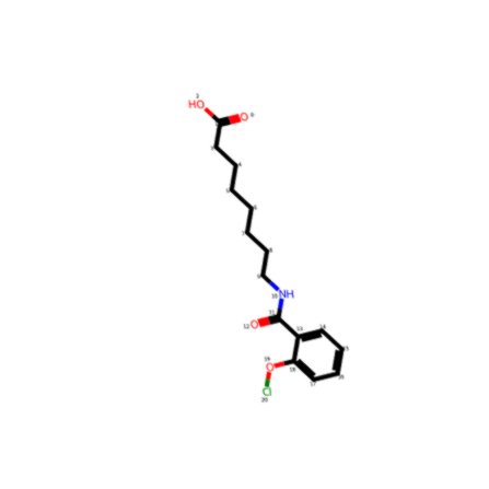 O=C(O)CCCCCCCNC(=O)c1ccccc1OCl